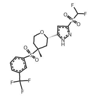 C[C@@]1(S(=O)(=O)c2cccc(C(F)(F)F)c2)CCO[C@H](c2cc(S(=O)(=O)C(F)F)n[nH]2)C1